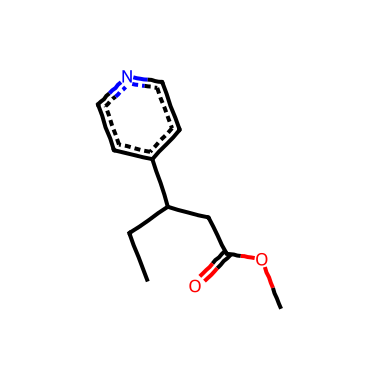 CCC(CC(=O)OC)c1ccncc1